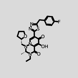 CCN1C(=O)c2c(O)c(=O)c(-c3nnc(Cc4ccc(F)cc4)s3)cn2N(C[C@@H]2CCCO2)[C@H]1C